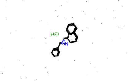 Cl.c1ccc(CNCC2CCCc3ccccc32)cc1